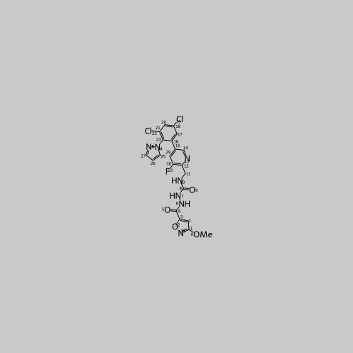 COc1cc(C(=O)NNC(=O)NCc2ncc(-c3cc(Cl)cc(Cl)c3-n3cccn3)cc2F)on1